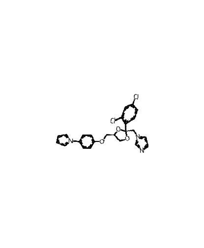 Clc1ccc([C@]2(Cn3ccnc3)OC[C@@H](COc3ccc(-n4cccc4)cc3)O2)c(Cl)c1